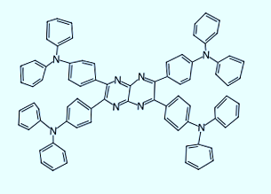 c1ccc(N(c2ccccc2)c2ccc(-c3nc4nc(-c5ccc(N(c6ccccc6)c6ccccc6)cc5)c(-c5ccc(N(c6ccccc6)c6ccccc6)cc5)nc4nc3-c3ccc(N(c4ccccc4)c4ccccc4)cc3)cc2)cc1